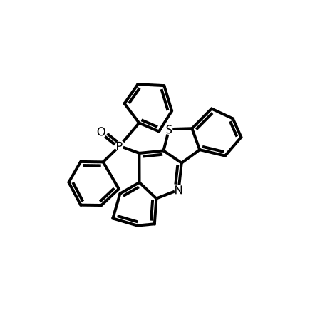 O=P(c1ccccc1)(c1ccccc1)c1c2ccccc2nc2c1sc1ccccc12